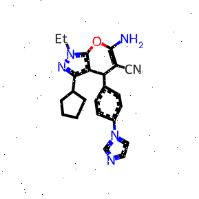 CCn1nc(C2CCCC2)c2c1OC(N)=C(C#N)C2c1ccc(-n2ccnc2)cc1